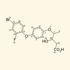 CC(Oc1ccc(Oc2ccc(Br)cc2F)cc1)C(O)CC(=O)O